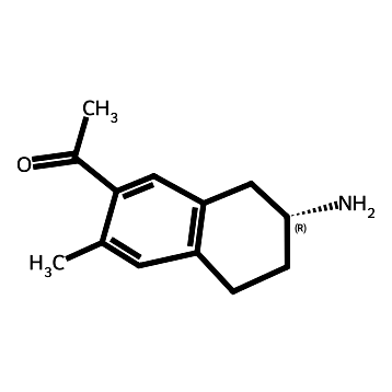 CC(=O)c1cc2c(cc1C)CC[C@@H](N)C2